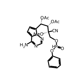 CO[C@](C#N)(CO[PH](=O)Oc1ccccc1)[C@@H](OC(C)=O)[C@@H](OC(C)=O)c1ccc2c(N)ncnn12